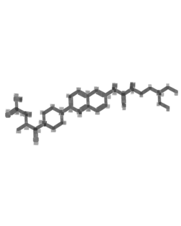 CCN(CC)CCNC(=S)Nc1ccc2nc(N3CCN(C(=O)C(C)NC(=O)O)CC3)ccc2c1